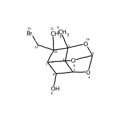 CC12CC3OC(OC(C3O)C1(C)CBr)O2